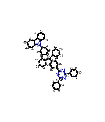 c1ccc(-c2nc(-c3ccccc3)nc(-c3ccc([Si](c4ccccc4)(c4ccccc4)c4ccc(-n5c6ccccc6c6ccccc65)cc4)cc3)n2)cc1